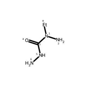 CCN(N)C(=O)NN